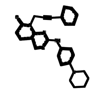 O=c1ccc2cnc(Nc3ccc(N4CCCCC4)cc3)nc2n1CC#Cc1ccccc1